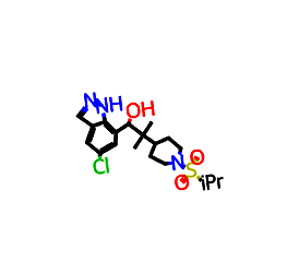 CC(C)S(=O)(=O)N1CCC(C(C)(C)C(O)c2cc(Cl)cc3cn[nH]c23)CC1